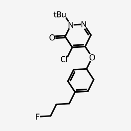 CC(C)(C)n1ncc(OC2C=CC(CCCF)=CC2)c(Cl)c1=O